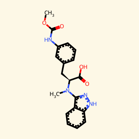 COC(=O)Nc1cccc(C[C@@H](C(=O)O)N(C)c2n[nH]c3ccccc23)c1